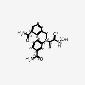 CC(C(=O)NO)N(Cc1cccc(C(N)=O)c1)c1cccc(C(N)=O)c1